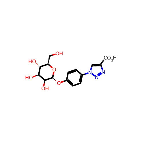 O=C(O)c1cn(-c2ccc(O[C@H]3O[C@H](CO)[C@@H](O)[C@H](O)[C@@H]3O)cc2)nn1